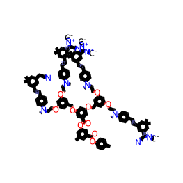 [C-]#[N+]C([N+]#[C-])=C1C=C(/C=C/c2ccc(N(C)CCOc3cc(COc4cc(OCc5cc(OCCN(C)c6ccc(/C=C/C7=CC(=C(\C#N)[N+]#[C-])/CC(C)(C)C7)cc6)cc(OCCN(C)c6ccc(/C=C/C7=CC(CC#N)CC(C)(C)C7)cc6)c5)cc(C(=O)Oc5cc(C)cc(C(=O)Oc6ccc(C)cc6)c5)c4)cc(OCCN(C)c4ccc(/C=C/C5=CC(=C(\C#N)[N+]#[C-])/CC(C)(C)C5)cc4)c3)cc2)CC(C)(C)C1